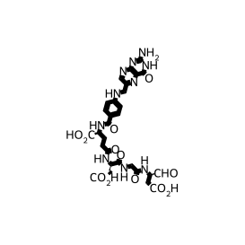 Nc1nc2ncc(CNc3ccc(C(=O)N[C@@H](CCC(=O)N[C@@H](CC(=O)O)C(=O)NCC(=O)N[C@H](C=O)CC(=O)O)C(=O)O)cc3)nc2c(=O)[nH]1